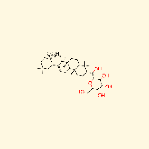 CC1(C)CC[C@]2(C(=O)O)CC[C@]3(C)C(=CCC4[C@@]5(C)CC[C@@H](C(O)[C@@H]6OC(CO)[C@@H](O)C(O)C6O)C(C)(C)C5CC[C@]43C)C2C1